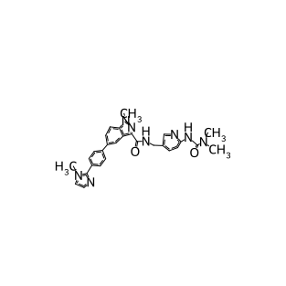 CN(C)C(=O)Nc1ccc(CNC(=O)c2nn(C)c3ccc(-c4ccc(-c5nccn5C)cc4)cc23)cn1